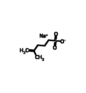 C=C(C)CCCS(=O)(=O)[O-].[Na+]